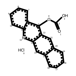 Cl.O=C(O)Oc1c2ccccc2nc2cc3ccccc3cc12